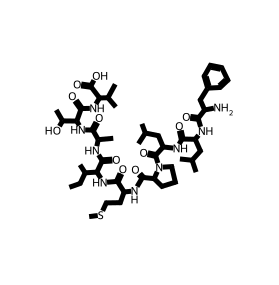 CCC(C)C(NC(=O)C(CCSC)NC(=O)C1CCCN1C(=O)C(CC(C)C)NC(=O)C(CC(C)C)NC(=O)C(N)Cc1ccccc1)C(=O)NC(C)C(=O)NC(C(=O)NC(C(=O)O)C(C)C)C(C)O